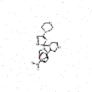 O=[N+]([O-])c1ccc(C2CNCCN2C2(N3CCOCC3)N=C(N3CCOCC3)C=CN2)cc1